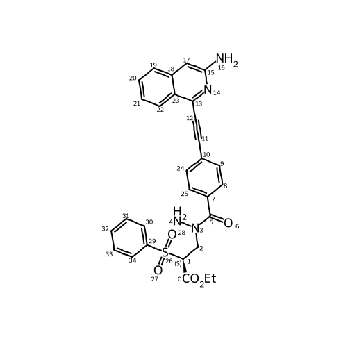 CCOC(=O)[C@H](CN(N)C(=O)c1ccc(C#Cc2nc(N)cc3ccccc23)cc1)S(=O)(=O)c1ccccc1